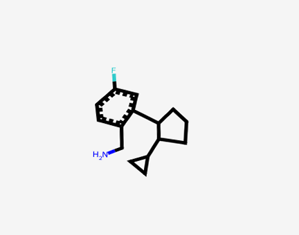 NCc1ccc(F)cc1C1CCCC1C1CC1